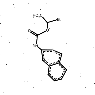 CCC(OC(=O)Nc1cc2ccccc2cn1)C(=O)O